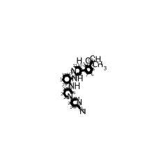 CC(C)(O)c1cccc(-c2ccnc(N[C@@H]3CCCC[C@H]3NC3CCCN(c4ccc(C#N)nc4)C3)c2)c1